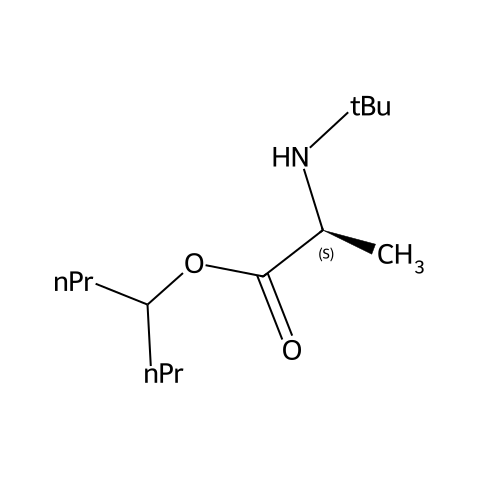 CCCC(CCC)OC(=O)[C@H](C)NC(C)(C)C